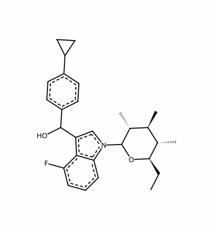 CC[C@H]1OC(n2cc(C(O)c3ccc(C4CC4)cc3)c3c(F)cccc32)[C@H](C)[C@@H](C)[C@@H]1C